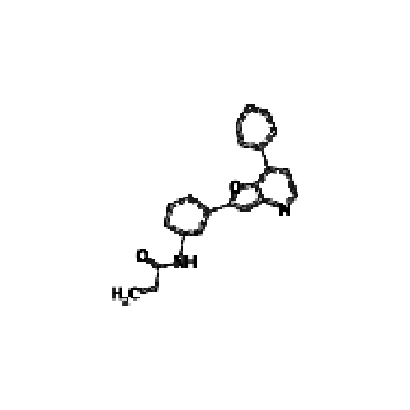 C=CC(=O)Nc1cccc(-c2cc3nccc(-c4ccccc4)c3o2)c1